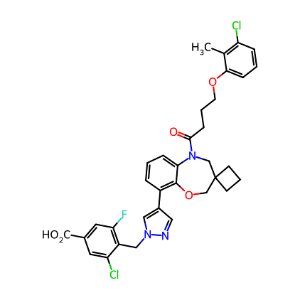 Cc1c(Cl)cccc1OCCCC(=O)N1CC2(CCC2)COc2c(-c3cnn(Cc4c(F)cc(C(=O)O)cc4Cl)c3)cccc21